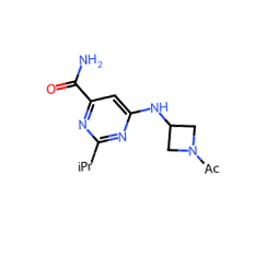 CC(=O)N1CC(Nc2cc(C(N)=O)nc(C(C)C)n2)C1